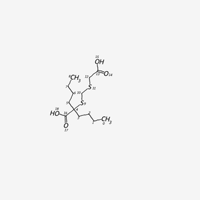 CCCCC(CCCC)(SCSCC(=O)O)C(=O)O